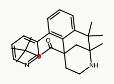 CC(C)(C)OC(=O)C12CCNC(C)(C1)C(C)(C)c1cccc(-c3cccnc3)c12